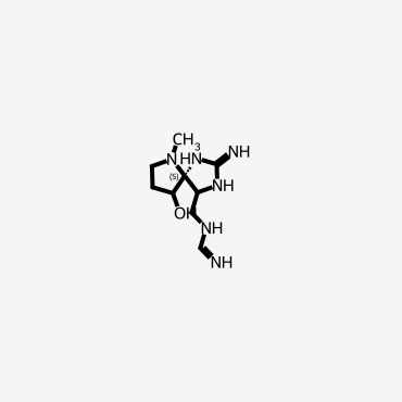 CN1CCC(O)[C@@]12NC(=N)NC2CNC=N